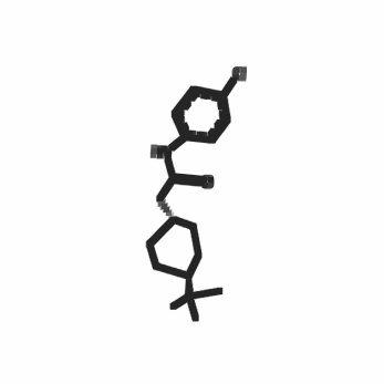 CC(C)(C)[C@H]1CC[C@H](CC(=O)Nc2ccc(Cl)cc2)CC1